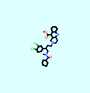 COC(=O)c1c2c(nc3ccccc13)CCN(CCC(CN(C)C(=O)c1ccccc1)c1ccc(Cl)c(Cl)c1)C2